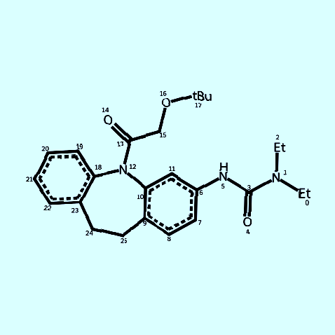 CCN(CC)C(=O)Nc1ccc2c(c1)N(C(=O)COC(C)(C)C)c1ccccc1CC2